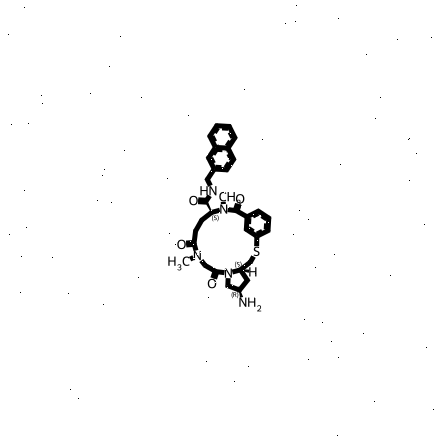 CN1CC(=O)N2C[C@H](N)C[C@H]2CSc2cccc(c2)C(=O)N(C)[C@H](C(=O)NCc2ccc3ccccc3c2)CCC1=O